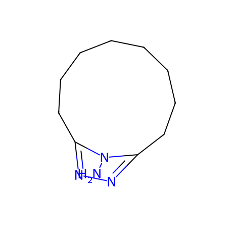 Nn1c2nnc1CCCCCCCC2